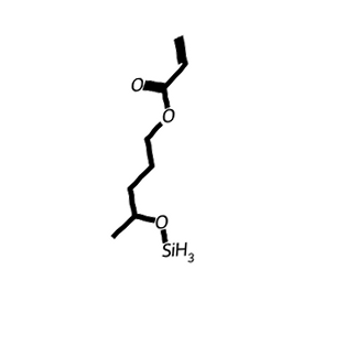 C=CC(=O)OCCCC(C)O[SiH3]